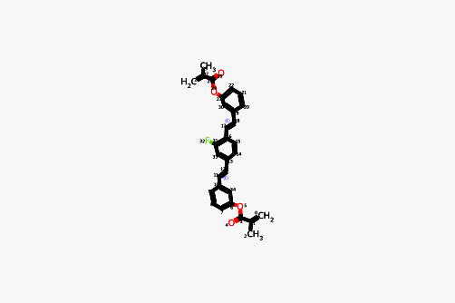 C=C(C)C(=O)Oc1cccc(/C=C/c2ccc(/C=C/c3cccc(OC(=O)C(=C)C)c3)c(F)c2)c1